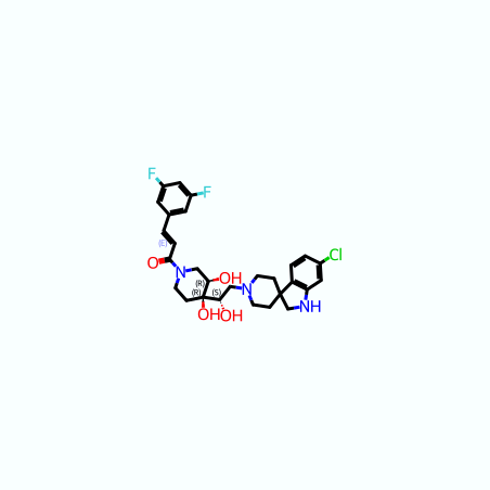 O=C(/C=C/c1cc(F)cc(F)c1)N1CC[C@@](O)([C@@H](O)CN2CCC3(CC2)CNc2cc(Cl)ccc23)[C@H](O)C1